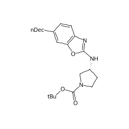 CCCCCCCCCCc1ccc2nc(N[C@@H]3CCN(C(=O)OC(C)(C)C)C3)oc2c1